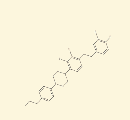 CCCc1ccc(C2CCC(c3ccc(CCc4ccc(F)c(F)c4)c(F)c3F)CC2)cc1